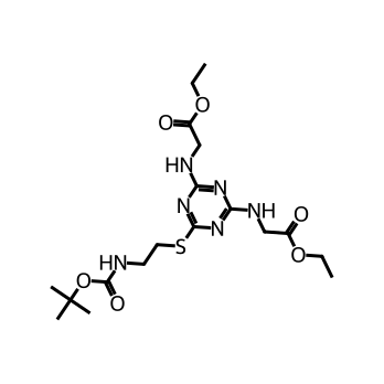 CCOC(=O)CNc1nc(NCC(=O)OCC)nc(SCCNC(=O)OC(C)(C)C)n1